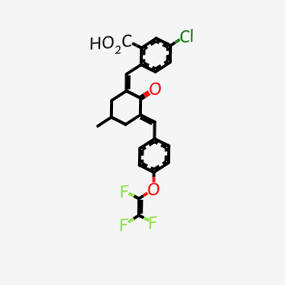 CC1C/C(=C/c2ccc(Cl)cc2C(=O)O)C(=O)/C(=C/c2ccc(OC(F)=C(F)F)cc2)C1